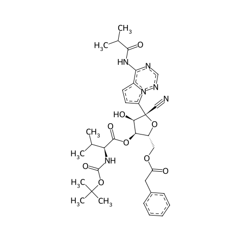 CC(C)C(=O)Nc1ncnn2c([C@]3(C#N)O[C@H](COC(=O)Cc4ccccc4)[C@@H](OC(=O)[C@@H](NC(=O)OC(C)(C)C)C(C)C)[C@H]3O)ccc12